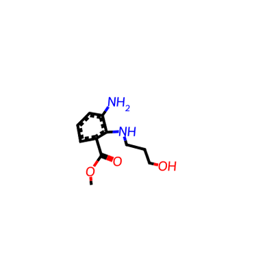 COC(=O)c1cccc(N)c1NCCCO